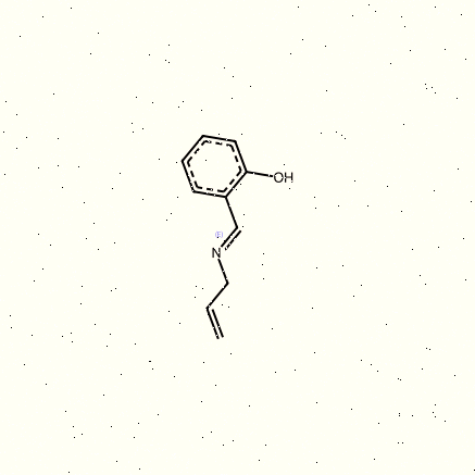 C=CC/N=C/c1ccccc1O